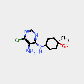 C[C@]1(O)CC[C@@H](Nc2ncnc(Cl)c2N)CC1